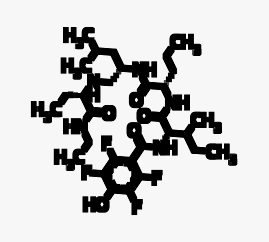 CCC[C@H](NC(=O)[C@@H](NC(=O)c1c(F)c(F)c(O)c(F)c1F)C(C)CC)C(=O)N[C@H](CN[C@@H](CC)C(=O)NCC)CC(C)C